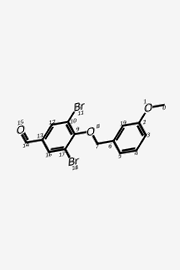 COc1cccc(COc2c(Br)cc(C=O)cc2Br)c1